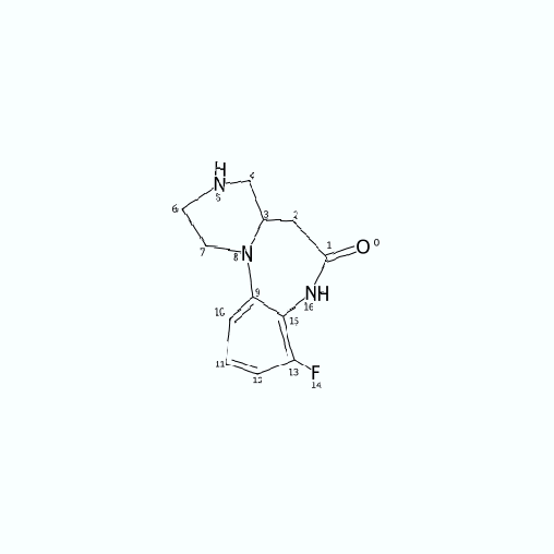 O=C1CC2CNCCN2c2cccc(F)c2N1